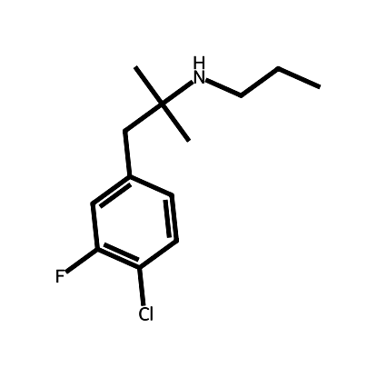 CCCNC(C)(C)Cc1ccc(Cl)c(F)c1